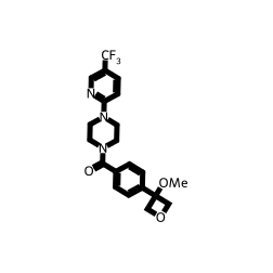 COC1(c2ccc(C(=O)N3CCN(c4ccc(C(F)(F)F)cn4)CC3)cc2)COC1